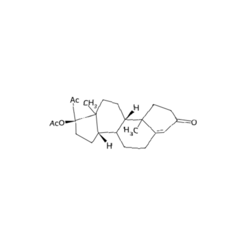 CC(=O)O[C@]1(C(C)=O)CC[C@H]2C3CCC4=CC(=O)CCC4(C)[C@H]3CCC21C